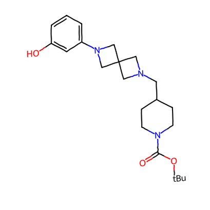 CC(C)(C)OC(=O)N1CCC(CN2CC3(C2)CN(c2cccc(O)c2)C3)CC1